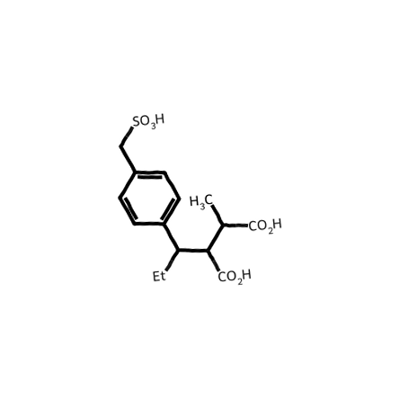 CCC(c1ccc(CS(=O)(=O)O)cc1)C(C(=O)O)C(C)C(=O)O